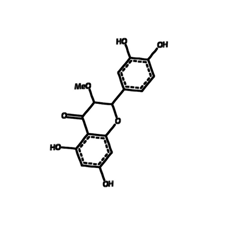 COC1C(=O)c2c(O)cc(O)cc2OC1c1ccc(O)c(O)c1